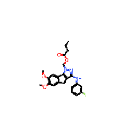 CCCC(=O)OCn1nc(Nc2cccc(F)c2)c2c1-c1cc(OC)c(OC)cc1C2